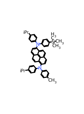 Cc1ccc(N(c2ccc(C(C)C)cc2)c2ccc3ccc4c(N(c5ccc(C(C)C)cc5)c5ccc([Si](C)(C)C)cc5)ccc5ccc2c3c54)cc1